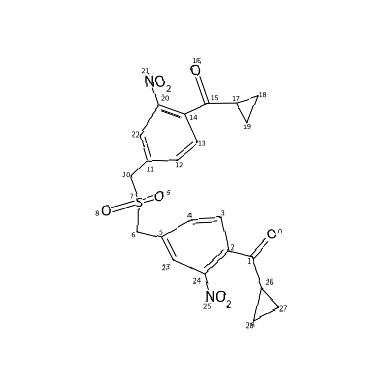 O=C(c1ccc(CS(=O)(=O)Cc2ccc(C(=O)C3CC3)c([N+](=O)[O-])c2)cc1[N+](=O)[O-])C1CC1